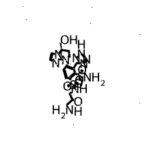 NCC(O)CNS(=O)(=O)c1ccc(N2CC[C@H](CO)n3ccnc32)c(-c2nn[nH]n2)c1S(N)(=O)=O